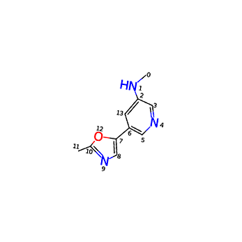 CNc1cncc(-c2cnc(C)o2)c1